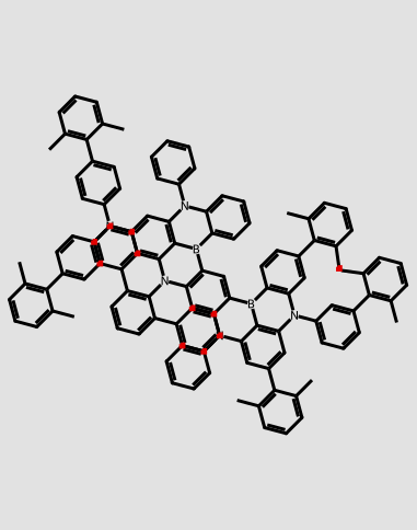 Cc1cccc(C)c1-c1ccc(N(c2ccc(-c3c(C)cccc3C)cc2)c2cc3c4c(c2)N(c2c(-c5ccccc5)cccc2-c2ccccc2)c2cc5c(cc2B4c2ccccc2N3c2ccccc2)B2c3ccc(-c4c(C)cccc4C)cc3N(c3cccc(-c4c(C)cccc4C)c3)c3cc(-c4c(C)cccc4C)cc(c32)N5c2ccccc2)cc1